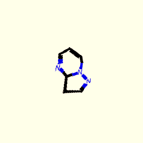 C1=CN2N=CCC2N=C1